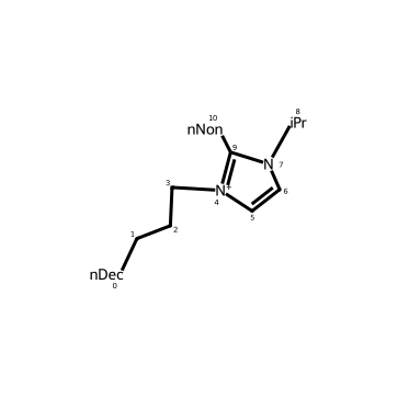 CCCCCCCCCCCCC[n+]1ccn(C(C)C)c1CCCCCCCCC